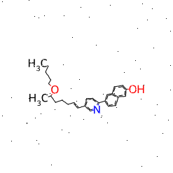 CCCCCOC(C)CCCC=Cc1ccc(-c2ccc3cc(O)ccc3c2)nc1